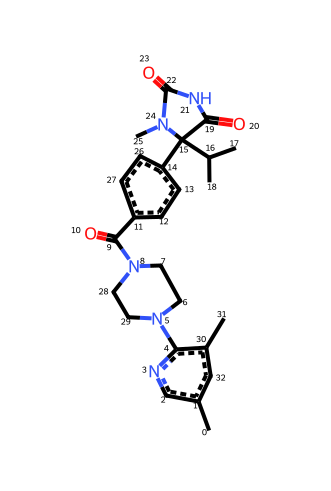 Cc1cnc(N2CCN(C(=O)c3ccc(C4(C(C)C)C(=O)NC(=O)N4C)cc3)CC2)c(C)c1